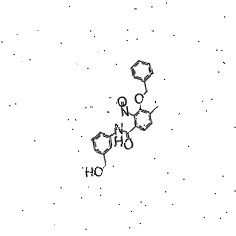 Cc1ccc(C(=O)Nc2cccc(CO)c2)c(N=O)c1OCc1ccccc1